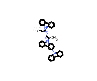 C=C/C(=N\C=C(/C)n1c2ccccc2c2cc(-n3c4ccccc4c4ccccc43)ccc21)n1c2ccccc2c2ccccc21